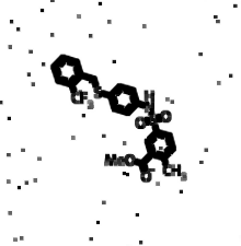 COC(=O)c1cc(S(=O)(=O)Nc2ccc(SCc3ccccc3C(F)(F)F)cc2)ccc1C